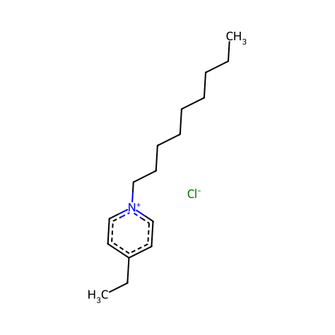 CCCCCCCCC[n+]1ccc(CC)cc1.[Cl-]